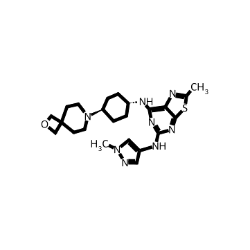 Cc1nc2c(N[C@H]3CC[C@H](N4CCC5(CC4)COC5)CC3)nc(Nc3cnn(C)c3)nc2s1